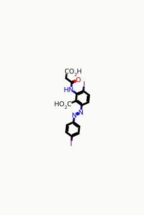 O=C(O)CC(=O)Nc1c(I)ccc(N=Nc2ccc(I)cc2)c1C(=O)O